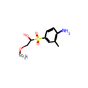 Cc1cc(S(=O)(=O)C(O)COS(=O)(=O)O)ccc1N